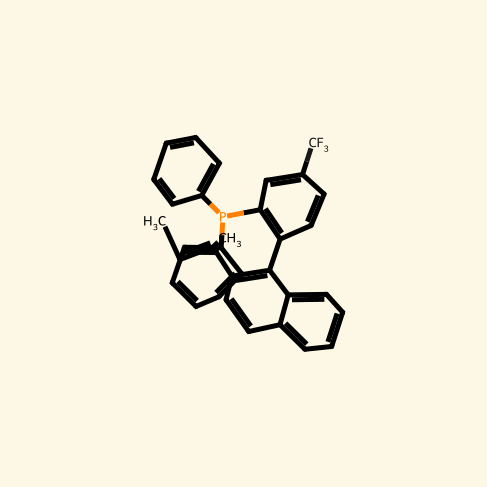 CC=C(C)c1ccc2ccccc2c1-c1ccc(C(F)(F)F)cc1P(c1ccccc1)c1ccccc1